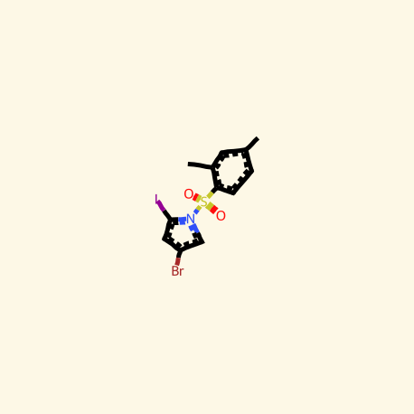 Cc1ccc(S(=O)(=O)n2cc(Br)cc2I)c(C)c1